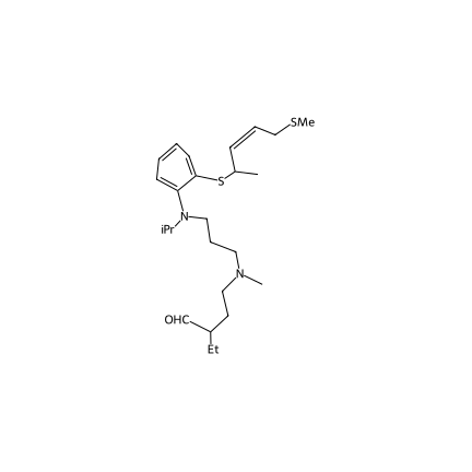 CCC(C=O)CCN(C)CCCN(c1ccccc1SC(C)/C=C\CSC)C(C)C